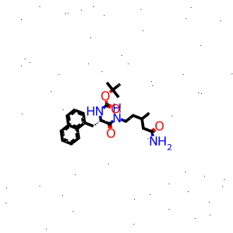 CC(CCNC(=O)[C@H](Cc1cccc2ccccc12)NC(=O)OC(C)(C)C)CC(N)=O